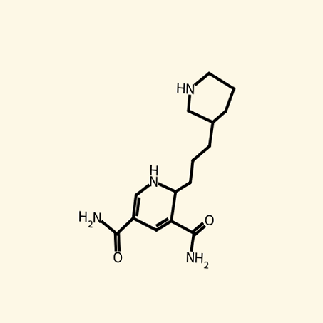 NC(=O)C1=CNC(CCCC2CCCNC2)C(C(N)=O)=C1